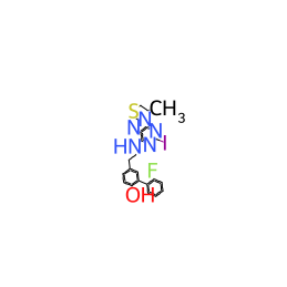 C[C@H]1CSc2nc3c(NCCc4ccc(O)c(-c5ccccc5F)c4)nc(I)nc3n21